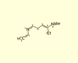 C=C/N=C\C/C=C(\CC)NC